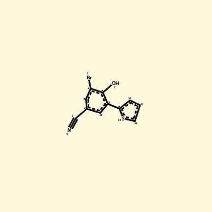 N#Cc1cc(Br)c(O)c(-c2cccs2)c1